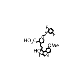 COc1ccc2ncc(F)c([C@H](O)CCC3CCN(CCSc4cc(F)ccc4F)CC3CC(=O)O)c2c1